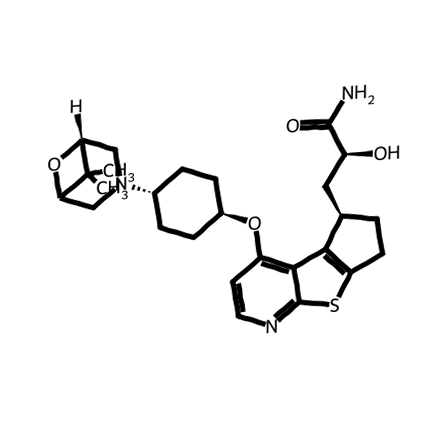 CC1(C)C2CN([C@H]3CC[C@H](Oc4ccnc5sc6c(c45)[C@@H](C[C@H](O)C(N)=O)CC6)CC3)C[C@H]1O2